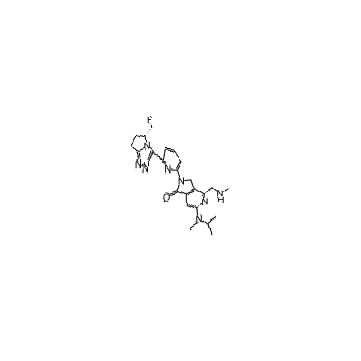 CNCc1nc(N(C)C(C)C)cc2c1CN(c1cccc(-c3nnc4n3[C@@H](CF)CC4)n1)C2=O